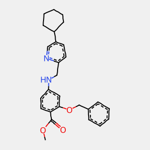 COC(=O)c1ccc(NCc2ccc(C3CCCCC3)cn2)cc1OCc1ccccc1